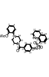 COc1ccccc1N1CCN(C(=O)c2ccc(NS(=O)(=O)c3c#ccc4cccnc34)cc2)CC1